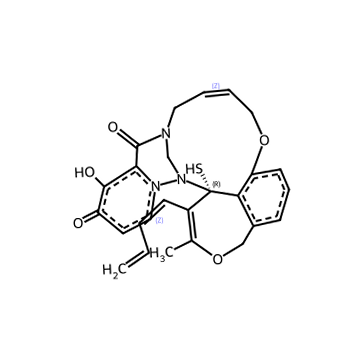 C=C/C=C\C1=C(C)OCc2cccc3c2[C@]1(S)N1CN(C/C=C\CO3)C(=O)c2c(O)c(=O)ccn21